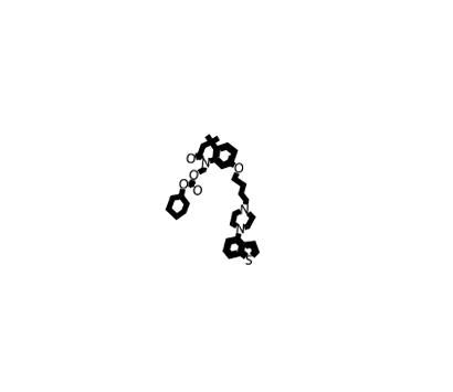 CC1(C)CC(=O)N(COC(=O)OC2CCCCC2)c2cc(OCCCCN3CCN(c4cccc5sccc45)CC3)ccc21